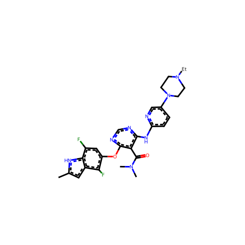 CCN1CCN(c2ccc(Nc3ncnc(Oc4cc(F)c5[nH]c(C)cc5c4F)c3C(=O)N(C)C)nc2)CC1